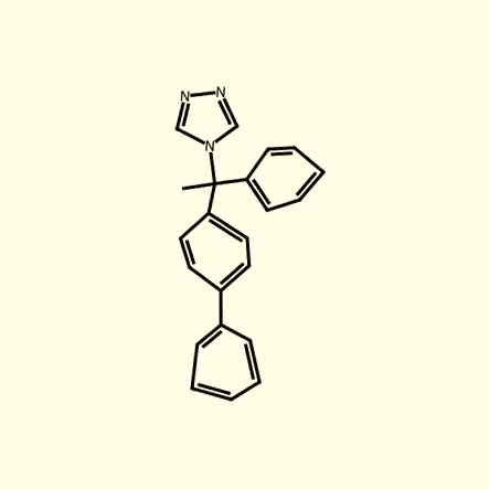 CC(c1ccccc1)(c1ccc(-c2ccccc2)cc1)n1cnnc1